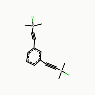 C[Si](C)(Cl)C#Cc1cccc(C#C[Si](C)(C)Cl)c1